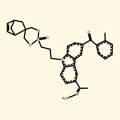 CC(=O)O/N=C(/C)c1ccc2c(c1)c1cc(C(=O)c3ccccc3C)ccc1n2CCCP1(=O)OCC2(CO1)CC1C=CC2C1